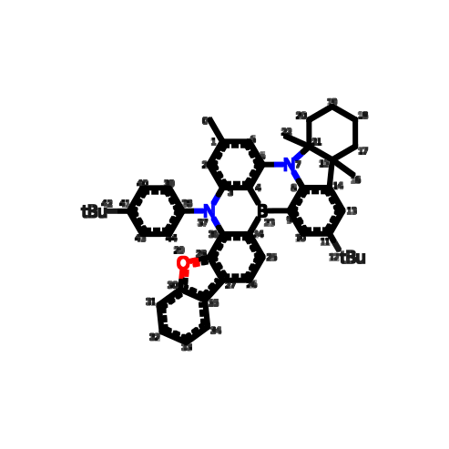 Cc1cc2c3c(c1)N1c4c(cc(C(C)(C)C)cc4C4(C)CCCCC14C)B3c1ccc3c(oc4ccccc43)c1N2c1ccc(C(C)(C)C)cc1